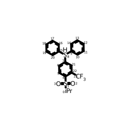 CC(C)S(=O)(=O)c1ccc([SH](c2ccccc2)c2ccccc2)cc1C(F)(F)F